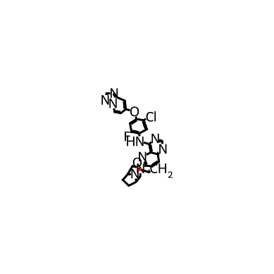 C=CC(=O)N1C2CCC1CN(c1ccc3ncnc(Nc4cc(Cl)c(Oc5ccn6ncnc6c5)cc4F)c3n1)C2